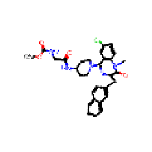 CCCCOC(=O)NCC(=O)NC1CCN(C2=NC(Cc3ccc4ccccc4c3)C(=O)N(C)c3ccc(Cl)cc32)CC1